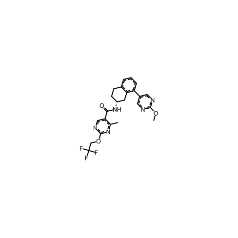 COc1ncc(-c2cccc3c2C[C@H](NC(=O)c2cnc(OCC(F)(F)F)nc2C)CC3)cn1